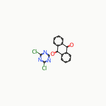 Clc1ncnc(Cl)n1.O=C1c2ccccc2C(=O)c2ccccc21